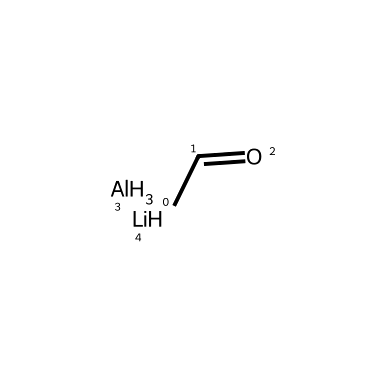 CC=O.[AlH3].[LiH]